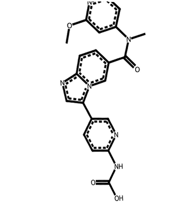 COc1cc(N(C)C(=O)c2ccc3ncc(-c4ccc(NC(=O)O)nc4)n3c2)ccn1